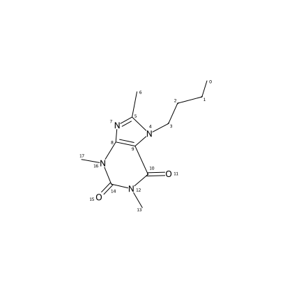 CCCCn1c(C)nc2c1c(=O)n(C)c(=O)n2C